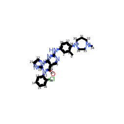 Cc1cc(Nc2ncc3c(=O)n(-c4ccccc4Cl)c4nccn4c3n2)ccc1N1CCCN(C)CC1